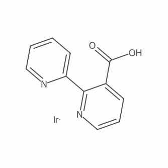 O=C(O)c1cccnc1-c1ccccn1.[Ir]